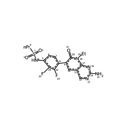 CCCS(=O)(=O)Nc1ccc(-c2cc3cnc(N)nc3n(CC)c2=O)c(F)c1F